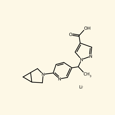 CC(c1ccc(N2CC3CC3C2)nc1)n1cc(C(=O)O)cn1.[Li]